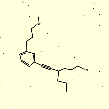 CCCC(C#Cc1cccc(CCCNC)c1)CCCO